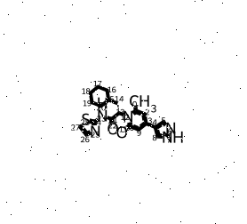 Cc1cc(-c2cn[nH]c2)cc(=O)n1[C@@H](CC1CCCCC1)C(=O)Nc1nccs1